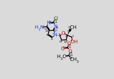 C#C[C@]1(CO)O[C@@H](n2ccc3c(N)nc(Cl)nc32)C[C@@H]1OC(=O)OC(C)C